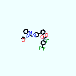 Fc1cc(C(F)F)ccc1[C@H]1COc2cccc(C3CCN(Cc4nc5ccccc5n4C[C@@H]4CCO4)CC3)c2O1